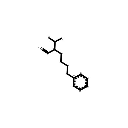 CC(C)C(C=O)CCCCc1ccccc1